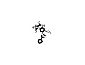 O=c1[nH]c2cc([N+](=O)[O-])c(-n3cnc(-c4ccccc4)c3)cc2n2c(=O)[nH]nc12